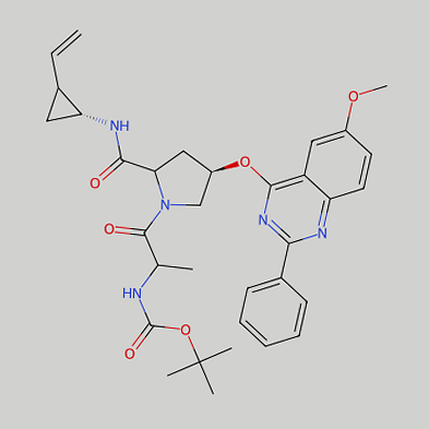 C=CC1C[C@H]1NC(=O)C1C[C@@H](Oc2nc(-c3ccccc3)nc3ccc(OC)cc23)CN1C(=O)C(C)NC(=O)OC(C)(C)C